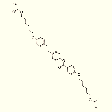 C=CC(=O)OCCCCCCOc1ccc(CCc2ccc(OC(=O)c3ccc(OCCCCCCOC(=O)C=C)cc3)cc2)cc1